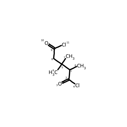 CC(C(=O)Cl)C(C)(C)CC(=O)Cl